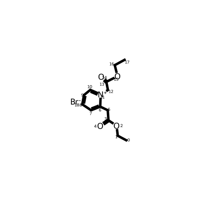 CCOC(=O)Cc1cccc[n+]1CC(=O)OCC.[Br-]